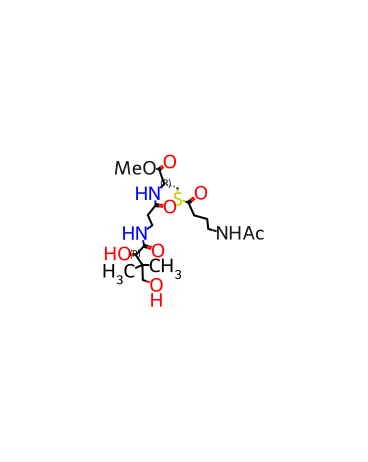 COC(=O)[C@H](CSC(=O)CCCNC(C)=O)NC(=O)CCNC(=O)[C@H](O)C(C)(C)CO